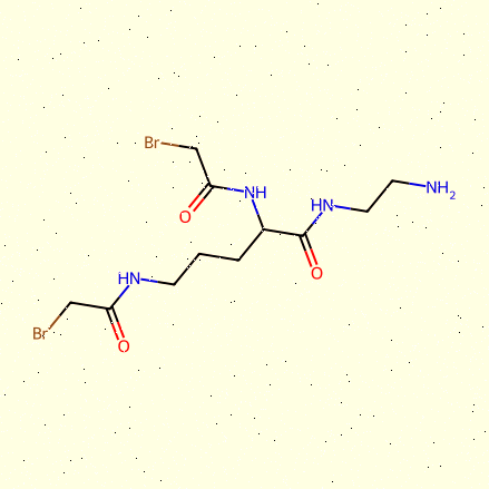 NCCNC(=O)C(CCCNC(=O)CBr)NC(=O)CBr